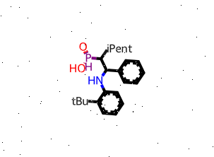 CCCC(C)C(C(Nc1ccccc1C(C)(C)C)c1ccccc1)[PH](=O)O